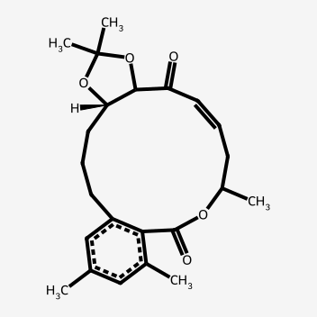 Cc1cc(C)c2c(c1)CCC[C@@H]1OC(C)(C)OC1C(=O)/C=C\CC(C)OC2=O